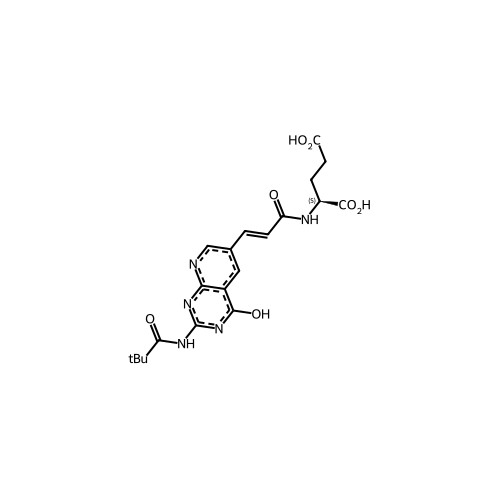 CC(C)(C)C(=O)Nc1nc(O)c2cc(C=CC(=O)N[C@@H](CCC(=O)O)C(=O)O)cnc2n1